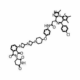 Cc1sc2c(c1C)C(c1ccc(Cl)cc1)=N[C@@H](CC(=O)Nc1ccc(OC3CCN(C4CN(C5CN(c6cccc7c6C(=O)N(C6CCC(=O)NC6=O)C7=O)C5)C4)CC3)cc1)c1nnc(C)n1-2